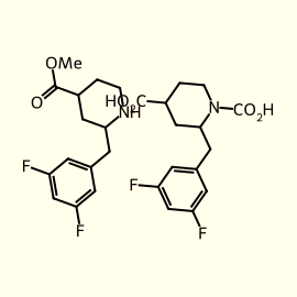 COC(=O)C1CCNC(Cc2cc(F)cc(F)c2)C1.O=C(O)C1CCN(C(=O)O)C(Cc2cc(F)cc(F)c2)C1